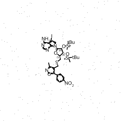 Cc1noc(-c2ccc([N+](=O)[O-])cc2)c1CSC[C@H]1O[C@@H](n2cc(I)c3c(N)ncnc32)[C@H](O[Si](C)(C)C(C)(C)C)[C@@H]1O[Si](C)(C)C(C)(C)C